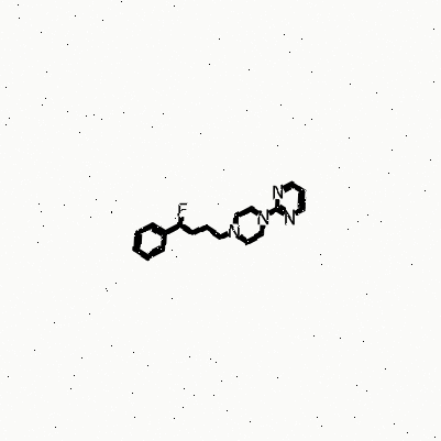 FC(CCCN1CCN(c2ncccn2)CC1)c1ccccc1